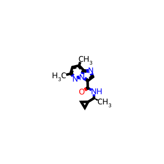 Cc1cc(C)c2ncc(C(=O)N[C@@H](C)C3CC3)n2n1